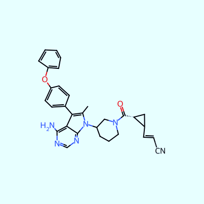 Cc1c(-c2ccc(Oc3ccccc3)cc2)c2c(N)ncnc2n1C1CCCN(C(=O)[C@@H]2CC2C=CC#N)C1